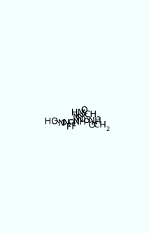 C=CC(=O)Nc1cccc(-c2c(C)c(=O)[nH]c3cnc(Nc4ccc(N5CCN(CCO)CC5)c(F)c4F)nc23)c1